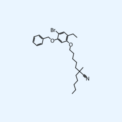 CCCCCC(C)(C#N)CCCCCOc1cc(OCc2ccccc2)c(Br)cc1CC